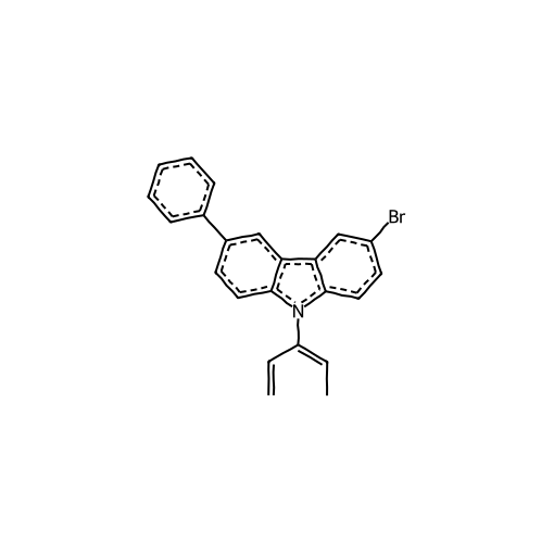 C=C/C(=C\C)n1c2ccc(Br)cc2c2cc(-c3ccccc3)ccc21